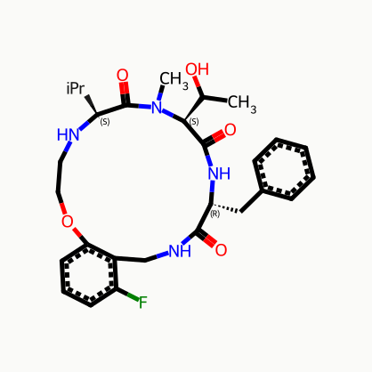 CC(C)[C@@H]1NCCOc2cccc(F)c2CNC(=O)[C@@H](Cc2ccccc2)NC(=O)[C@H](C(C)O)N(C)C1=O